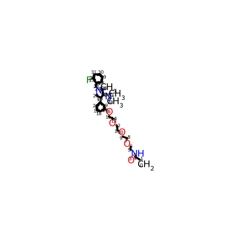 C=CC(=O)NCCOCCOCCOCCOc1cccc([C@H]2CN(Cc3c(C)cccc3F)C[C@@H]2N(C)C)c1